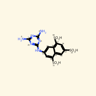 Nc1nc(N)nc(Nc2cc(S(=O)(=O)O)c3cc(S(=O)(=O)O)cc(S(=O)(=O)O)c3c2)n1